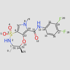 C[C@@H]1NS(=O)(=O)c2cn(C)c(C(=O)Nc3ccc(F)c(F)c3)c2O[C@H]1C